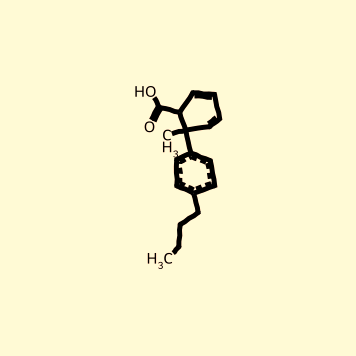 CCCCc1ccc(C2(C)C=CC=CC2C(=O)O)cc1